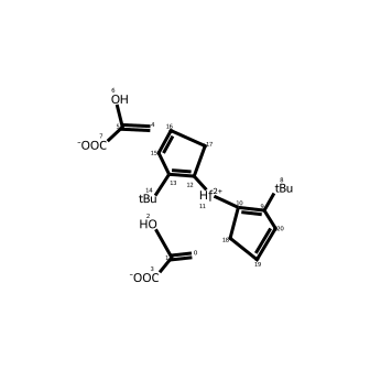 C=C(O)C(=O)[O-].C=C(O)C(=O)[O-].CC(C)(C)C1=[C]([Hf+2][C]2=C(C(C)(C)C)C=CC2)CC=C1